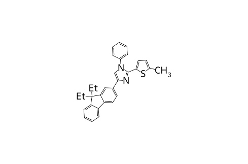 CCC1(CC)c2ccccc2-c2ccc(-c3cn(-c4ccccc4)c(-c4ccc(C)s4)n3)cc21